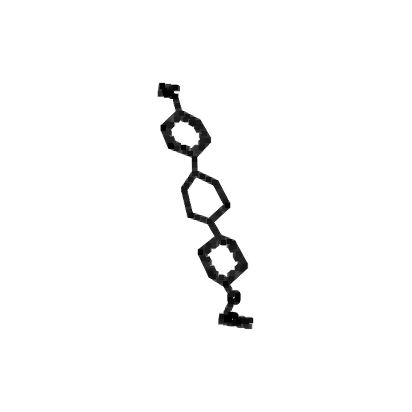 CCCCCCCCCCOc1ccc(C2CCC(c3ccc(C#N)cc3)CC2)cc1